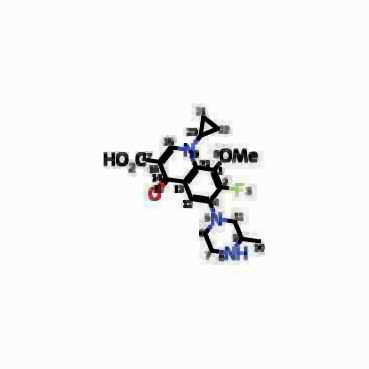 COc1c(F)c(N2CCNC(C)C2)cc2c(=O)c(C(=O)O)cn(C3CC3)c12